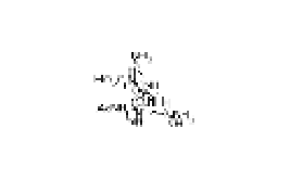 CC(=O)N[C@@H](CC(C)C)C(=O)N[C@@H](CCCNC(=N)N)C(=O)N[C@@H](C)C(=O)N[C@@H](CCCCN)C(=O)N[C@@H](C)C(=O)O